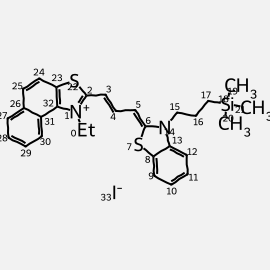 CC[n+]1c(C=CC=C2Sc3ccccc3N2CCC[Si](C)(C)C)sc2ccc3ccccc3c21.[I-]